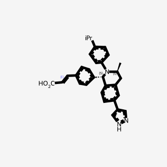 CC(C)c1ccc(N2[C@@H](c3ccc(/C=C/C(=O)O)cc3)c3ccc(-c4cn[nH]c4)cc3C[C@@H]2C)cc1